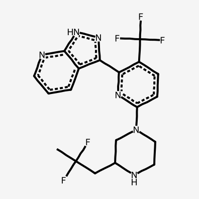 CC(F)(F)CC1CN(c2ccc(C(F)(F)F)c(-c3n[nH]c4ncccc34)n2)CCN1